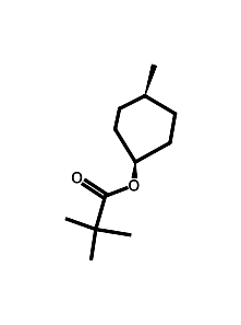 CC(C)(C)C(=O)O[C@H]1CC[C@@H](C)CC1